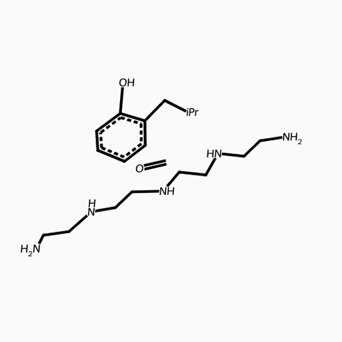 C=O.CC(C)Cc1ccccc1O.NCCNCCNCCNCCN